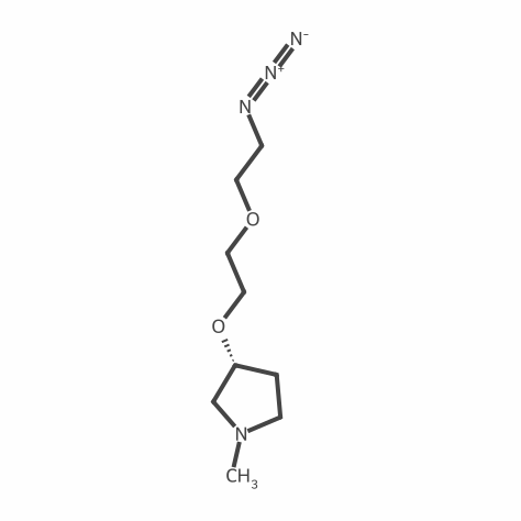 CN1CC[C@@H](OCCOCCN=[N+]=[N-])C1